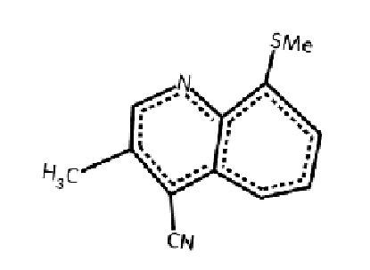 CSc1cccc2c(C#N)c(C)cnc12